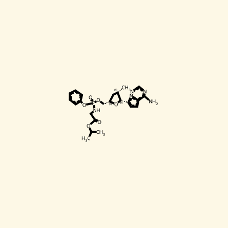 CC(C)OC(=O)CNP(=O)(OC[C@@H]1C[C@H](C)[C@H](c2ccc3c(N)ncnn23)O1)Oc1ccccc1